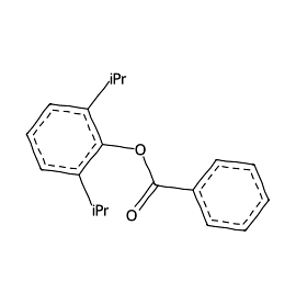 CC(C)c1cccc(C(C)C)c1OC(=O)c1ccccc1